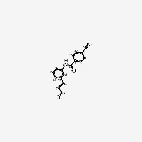 N#Cc1ccc(C(=O)Nc2cccc(C=CC[O])c2)cc1